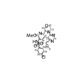 COc1ncc(-c2c(C)ncnc2N2CCOCC2)cc1NS(=O)(=O)c1ccc(Cl)cc1